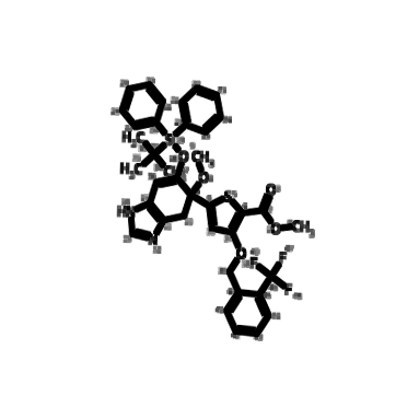 COC(=O)c1sc(C2(OC)Cc3nc[nH]c3C=C2O[Si](c2ccccc2)(c2ccccc2)C(C)(C)C)cc1OCc1ccccc1C(F)(F)F